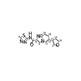 O=C(Nc1nncs1)c1cn2cc(-c3ccoc3)ccc2n1